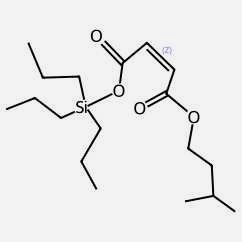 CCC[Si](CCC)(CCC)OC(=O)/C=C\C(=O)OCCC(C)C